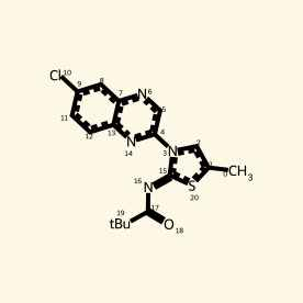 Cc1cn(-c2cnc3cc(Cl)ccc3n2)/c(=N/C(=O)C(C)(C)C)s1